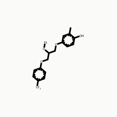 CCOC(COc1ccc(C(F)(F)F)cc1)COc1ccc(O)c(C)c1